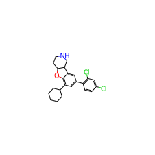 Clc1ccc(-c2cc(C3CCCCC3)c3c(c2)C2CNCCC2O3)c(Cl)c1